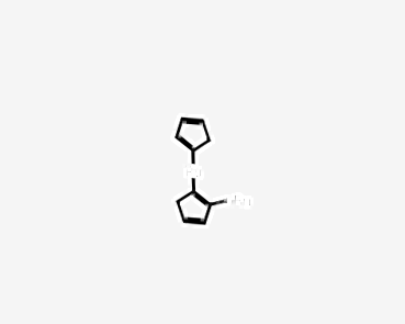 CCCCC1=[C]([Ru][C]2=CC=CC2)CC=C1